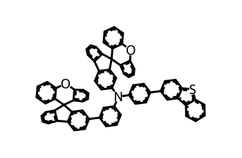 c1cc(-c2ccc3c(c2)C2(c4ccccc4Oc4ccccc42)c2ccccc2-3)cc(N(c2ccc(-c3ccc4sc5ccccc5c4c3)cc2)c2ccc3c(c2)C2(c4ccccc4Oc4ccccc42)c2ccccc2-3)c1